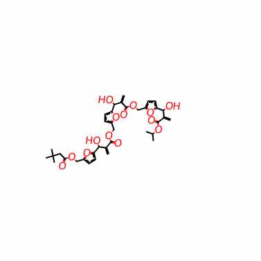 C=C(C(=O)OCc1ccc(C(O)C(=C)C(=O)OCc2ccc(C(O)C(=C)C(=O)OC(C)C)o2)o1)C(O)c1ccc(COC(=O)CC(C)(C)C)o1